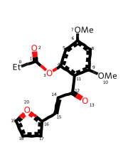 CCC(=O)Oc1cc(OC)cc(OC)c1C(=O)/C=C/c1ccco1